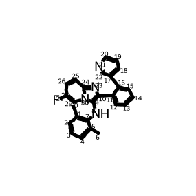 Cc1cccc(C)c1Nc1c(-c2ccccc2-c2cccnc2)nc2ccc(F)cn12